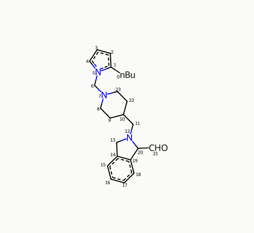 CCCCc1cccn1CN1CCC(CN2Cc3ccccc3C2C=O)CC1